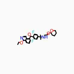 CCOc1nccc2c(C(=O)c3c(F)cc(C(C)(C)NCCOC4CCCCO4)cc3F)cccc12